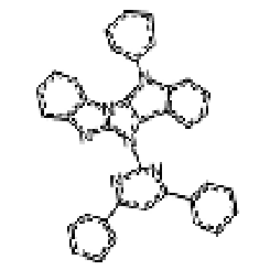 c1ccc(-c2cc(-c3ccccc3)nc(-n3c4c5ccccc5n(-c5ccccc5)c4n4c5ccccc5nc34)n2)cc1